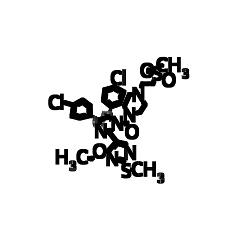 CCOc1nc(SC)ncc1C1=N[C@H](c2ccc(Cl)cc2)[C@H](c2ccc(Cl)cc2)N1C(=O)N1CCN(CCS(C)(=O)=O)CC1